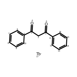 O=C(CC(=O)c1ccccc1)c1ccccc1.[Tb]